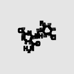 NC(=O)c1cnc(Cl)nc1NCc1cc(Cl)ccc1F